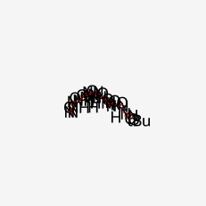 CN(CCCN(C)C(=O)CCNC(=O)c1nc(NC(=O)CCNC(=O)c2cc(NC(=O)c3nc(NC(=O)CCNC(=O)c4cc(NC(=O)c5nccn5C)cn4C)cn3C)cn2C)cn1C)CCCN(C)C(=O)OC(C)(C)C